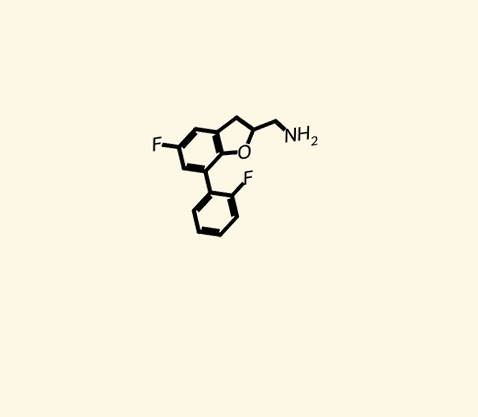 NCC1Cc2cc(F)cc(-c3ccccc3F)c2O1